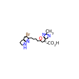 Cc1ncc([C@H](CC(=O)O)CC(=O)CCCCc2nc3c(cc2Br)CCCN3)cn1